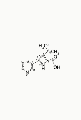 CC(C)c1nc(-c2cccnc2)[nH]c1C(=O)O